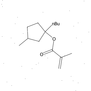 C=C(C)C(=O)OC1(CCCC)CCC(C)C1